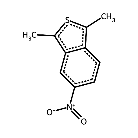 Cc1sc(C)c2cc([N+](=O)[O-])ccc12